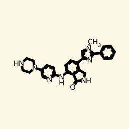 Cn1cc(-c2ccc(Nc3ccc(N4CCNCC4)cn3)c3c2CNC3=O)nc1-c1ccccc1